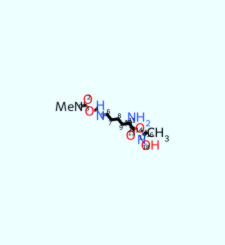 CNC(=O)OCNCCCC[C@H](N)C(=O)OC(C)=NO